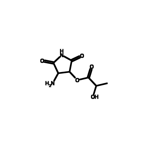 CC(O)C(=O)OC1C(=O)NC(=O)C1N